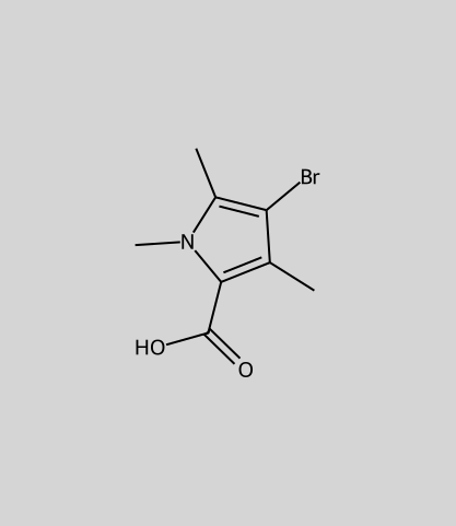 Cc1c(Br)c(C)n(C)c1C(=O)O